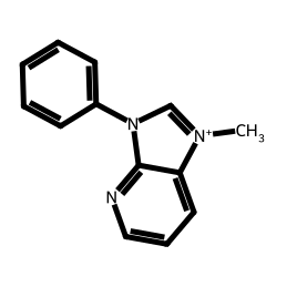 C[n+]1cn(-c2ccccc2)c2ncccc21